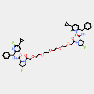 O=C(N[C@@H](c1ccccc1)c1ccc(C2CC2)c(F)n1)[C@@H]1C[C@@H](F)CN1C(=O)COCCOCCOCCOCCOCC(=O)N1C[C@H](F)C[C@H]1C(=O)N[C@@H](c1ccccc1)c1ccc(C2CC2)c(F)n1